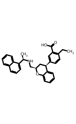 CCc1ccc([C@@H]2C[C@H](CN[C@H](C)c3cccc4ccccc34)Oc3ccccc32)cc1C(=O)O